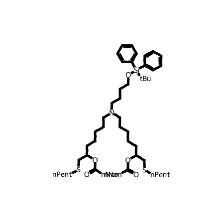 CCCCCCCCCC(=O)OC(CCCCCN(CCCCCC(CSCCCCC)OC(=O)CCCCCCCCC)CCCCO[Si](c1ccccc1)(c1ccccc1)C(C)(C)C)CSCCCCC